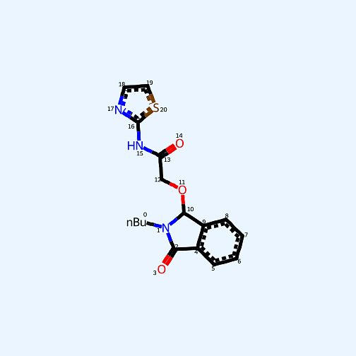 CCCCN1C(=O)c2ccccc2C1OCC(=O)Nc1nccs1